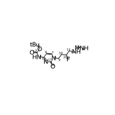 CC(C)(C)OC(=O)Nc1ccn(CCC(F)CNN=N)c(=O)n1